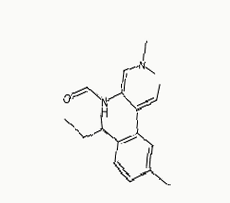 C/C=C(\C(=C/N(C)C)NC=O)c1cc(C)ccc1C(C)CC